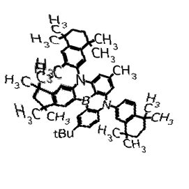 Cc1cc2c3c(c1)N(c1cc4c(cc1C)C(C)(C)CCC4(C)C)c1cc4c(cc1B3c1cc(C(C)(C)C)ccc1N2c1ccc2c(c1)C(C)(C)CCC2(C)C)C(C)(C)CC4(C)C